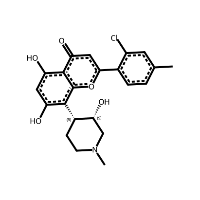 Cc1ccc(-c2cc(=O)c3c(O)cc(O)c([C@H]4CCN(C)C[C@H]4O)c3o2)c(Cl)c1